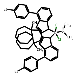 CCc1ccc(-c2cccc3c2C=C(CC2(C)CCCCCC2)[CH]3[Zr]([Cl])([Cl])([CH]2C(CC3(C)CCCCCC3)=Cc3c(-c4ccc(CC)cc4)cccc32)[SiH](C)C)cc1